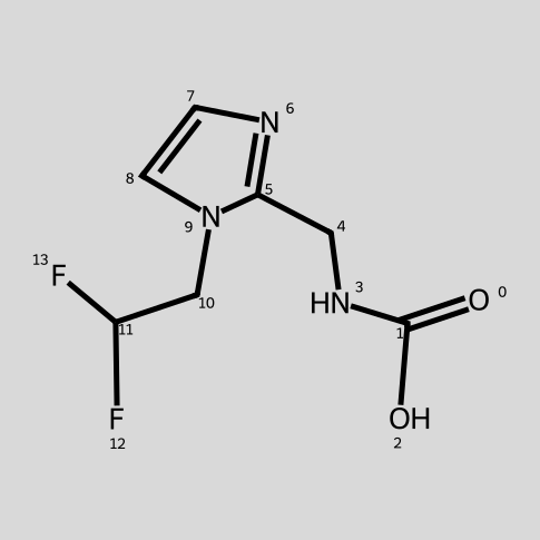 O=C(O)NCc1nccn1CC(F)F